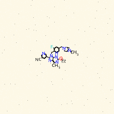 CCOC1=NC(C)=C2N=C(c3cncc(C#N)c3)N(Cc3ccc(CN4CC5CC4CN5C)cc3F)C2N1